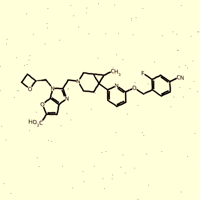 CC1C2CN(Cc3nc4cc(C(=O)O)oc4n3C[C@@H]3CCO3)CCC12c1cccc(OCc2ccc(C#N)cc2F)n1